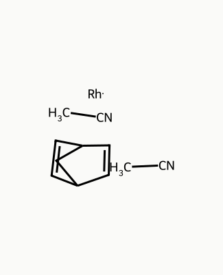 C1=CC2C=CC1C2.CC#N.CC#N.[Rh]